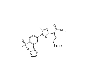 CCOC(=O)CC(C)N(C(N)=O)c1nc(C)c(-c2ccc(S(C)(=O)=O)c(-n3ccnc3)c2)s1